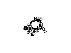 CC(C)(C)OC(=O)N[C@H]1CCN(S(=O)(=O)c2ccccc2[N+](=O)[O-])CC/C=C\[C@@H]2C[C@@]2(C(=O)O)NC(=O)[C@@H]2C[C@@H](OC=O)CN2C1=O